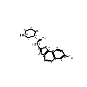 O=C(Nc1nc2ccc3cc(F)ccc3c2s1)[C@H]1CCCNC1